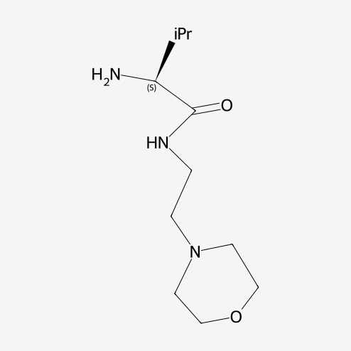 CC(C)[C@H](N)C(=O)NCCN1CCOCC1